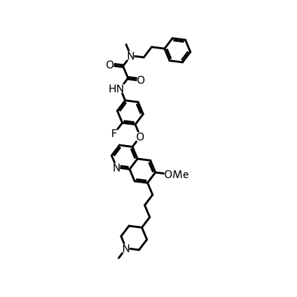 COc1cc2c(Oc3ccc(NC(=O)C(=O)N(C)CCc4ccccc4)cc3F)ccnc2cc1CCCC1CCN(C)CC1